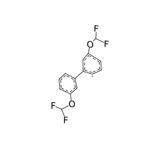 FC(F)Oc1cc[c]c(-c2cccc(OC(F)F)c2)c1